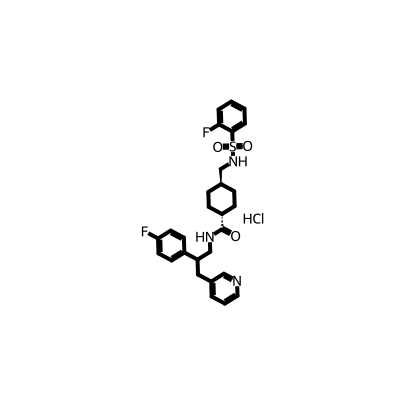 Cl.O=C(NCC(Cc1cccnc1)c1ccc(F)cc1)[C@H]1CC[C@H](CNS(=O)(=O)c2ccccc2F)CC1